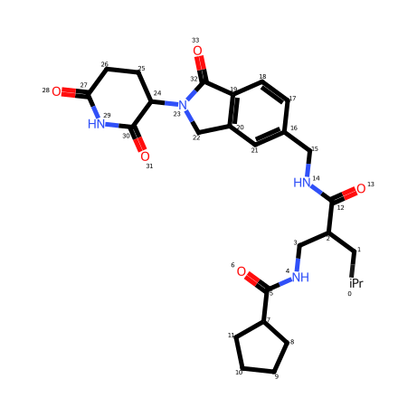 CC(C)CC(CNC(=O)C1CCCC1)C(=O)NCc1ccc2c(c1)CN(C1CCC(=O)NC1=O)C2=O